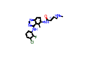 CNC/C=C/C(=O)Nc1ccc2ncnc(Nc3cccc(Cl)c3F)c2c1C